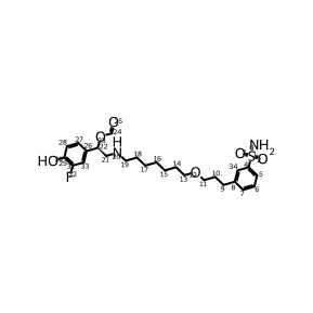 NS(=O)(=O)c1cccc(CCCOCCCCCCCNC[C@H](OC=O)c2ccc(O)c(F)c2)c1